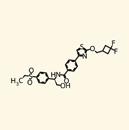 CCS(=O)(=O)c1ccc([C@H](CO)NC(=O)c2ccc(-c3csc(OCC4CC(F)(F)C4)n3)cc2)cc1